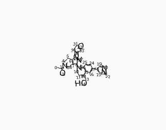 CC(=O)N1CCc2c(c(N3CC[C@@H](CO)c4cc(-c5cnn(C)c5)ccc43)nn2[C@H]2CCOC2)C1